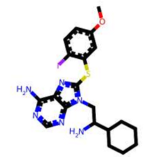 COc1ccc(I)c(Sc2nc3c(N)ncnc3n2CC(N)C2CCCCC2)c1